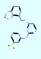 NS(=O)(=O)c1cccc(Nc2nccc(NCc3cccc4c3OCO4)n2)c1